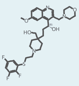 COc1ccc2ncc(CN3CCOCC3)c([C@H](O)CCC3(CO)CCN(CCSc4cc(F)cc(F)c4F)CC3)c2c1